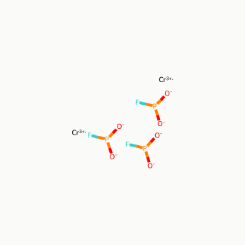 [Cr+3].[Cr+3].[O-]P([O-])F.[O-]P([O-])F.[O-]P([O-])F